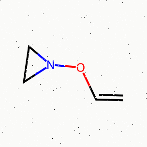 C=CON1CC1